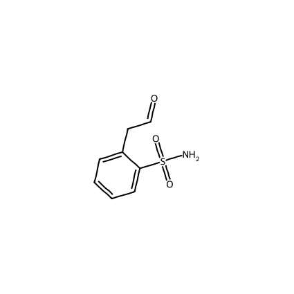 NS(=O)(=O)c1ccccc1CC=O